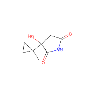 CC1(C2(O)CC(=O)NC2=O)CC1